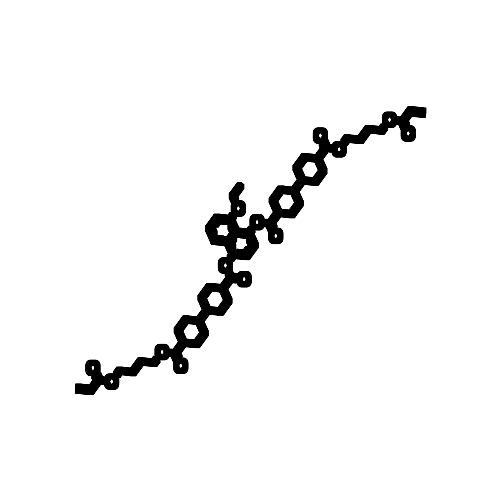 C=CC(=O)OCCCCOC(=O)C1CCC(C2CCC(C(=O)Oc3ccc(OC(=O)C4CCC(C5CCC(C(=O)OCCCCOC(=O)C=C)CC5)CC4)c4c(OCC)cccc34)CC2)CC1